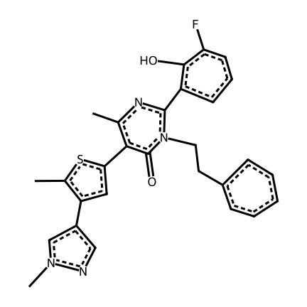 Cc1nc(-c2cccc(F)c2O)n(CCc2ccccc2)c(=O)c1-c1cc(-c2cnn(C)c2)c(C)s1